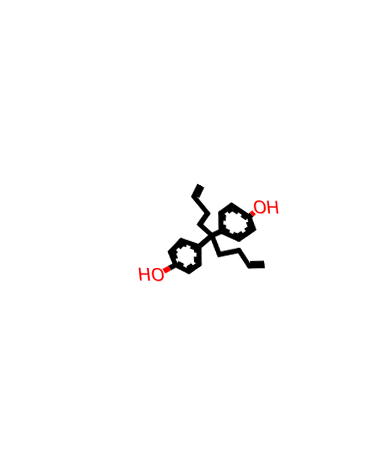 C=CCCC(CCC=C)(c1ccc(O)cc1)c1ccc(O)cc1